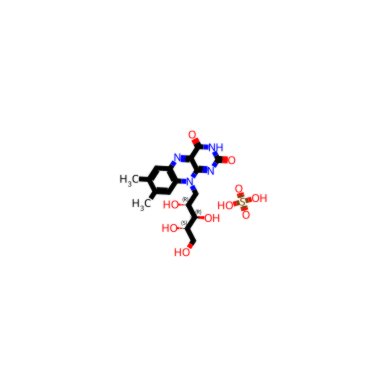 Cc1cc2nc3c(=O)[nH]c(=O)nc-3n(C[C@@H](O)[C@@H](O)[C@@H](O)CO)c2cc1C.O=S(=O)(O)O